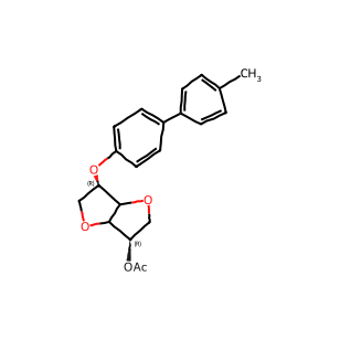 CC(=O)O[C@@H]1COC2C1OC[C@H]2Oc1ccc(-c2ccc(C)cc2)cc1